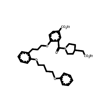 CCOC(=O)CC1CCN(C(=O)c2cc(C(=O)OCC)ccc2OCCCc2ccccc2OCCCCOc2ccccc2)CC1